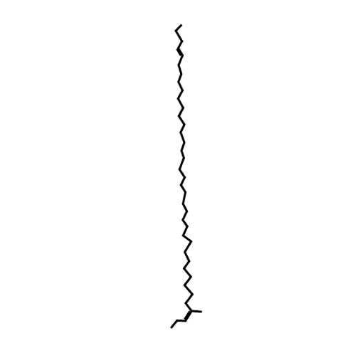 CCC=C(C)CCCCCCCCCCCCCCCCCCCCCCCCCCCCCC=CCCC